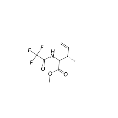 C=C[C@H](C)C(NC(=O)C(F)(F)F)C(=O)OC